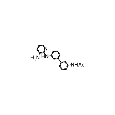 CC(=O)Nc1cccc(-c2cccc(Nc3ncccc3N)c2)c1